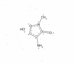 Cl.Cn1occ(N)c1=O